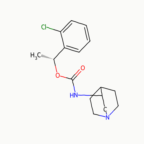 C[C@@H](OC(=O)NC1CN2CCC1CC2)c1ccccc1Cl